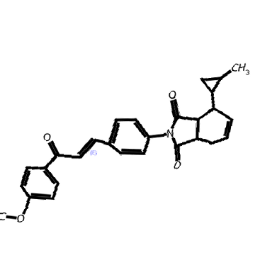 COc1ccc(C(=O)/C=C/c2ccc(N3C(=O)C4CC=CC(C5CC5C)C4C3=O)cc2)cc1